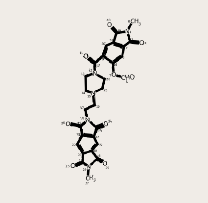 CN1C(=O)c2cc(OC=O)c(C(=O)N3CCN(CCn4c(=O)c5cc6c(=O)n(C)c(=O)c6cc5c4=O)CC3)cc2C1=O